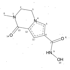 CN1CCn2cc(C(=O)NO)cc2C1=O